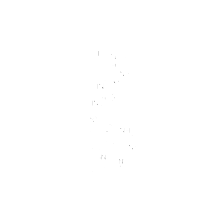 Nc1ncnc2c1c(-c1ccc(NC(=O)Nc3cc(C4(C(F)(F)F)CC4)no3)nc1)cn2C1CC1